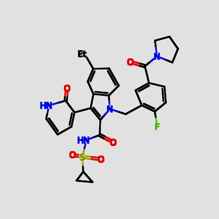 CCc1ccc2c(c1)c(-c1ccc[nH]c1=O)c(C(=O)NS(=O)(=O)C1CC1)n2Cc1cc(C(=O)N2CCCC2)ccc1F